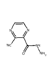 N#Cc1nccnc1C(=O)NN